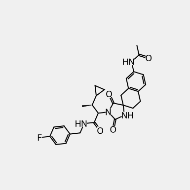 CC(=O)Nc1ccc2c(c1)CC1(CC2)NC(=O)N(C(C(=O)NCc2ccc(F)cc2)[C@@H](C)C2CC2)C1=O